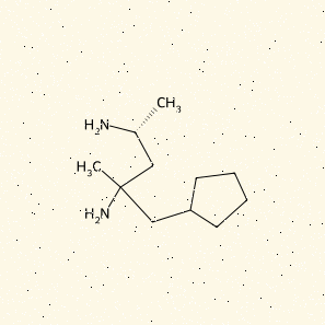 C[C@@H](N)CC(C)(N)CC1CCCC1